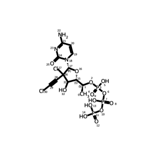 C[C@H](OP(=O)(O)OP(=O)(O)OP(=O)(O)O)[C@H]1O[C@@H](n2ccc(N)nc2=O)C(Cl)(C#CCl)C1O